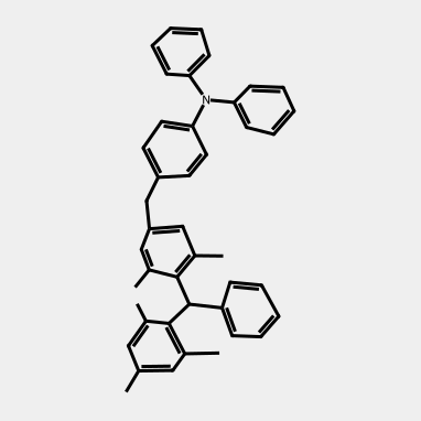 Cc1cc(C)c(C(c2ccccc2)c2c(C)cc(Cc3ccc(N(c4ccccc4)c4ccccc4)cc3)cc2C)c(C)c1